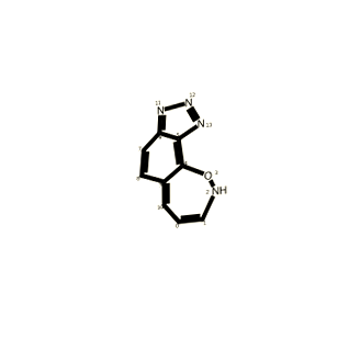 C1=CNOc2c3c(ccc2=C1)=NN=N3